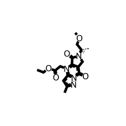 CCOC(=O)Cn1c2c(c(=O)n3nc(C)cc13)CN([C@@H](C)COC)C2=O